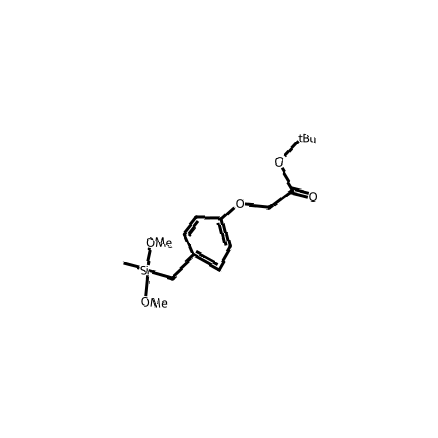 CO[Si](C)(Cc1ccc(OCC(=O)OC(C)(C)C)cc1)OC